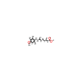 COC(=O)/C=C(C)/C=C/C=C(\C)CCc1c(C)cc(OC)c(C)c1C